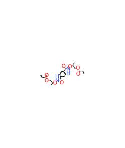 C=CC(=O)OCC(C)ONC(=O)c1ccc(C(=O)NOC(C)COC(=O)C=C)cc1